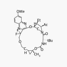 CC[C@@H]1[C@@H]2CN(C(=O)[C@H](C(C)(C)C)NC(=O)O[C@]3(C)C[C@H]3CCOCC(F)(F)c3nc4ccc(OC)cc4nc3O2)[C@@H]1C(C)=O